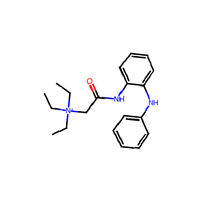 CC[N+](CC)(CC)CC(=O)Nc1ccccc1Nc1ccccc1